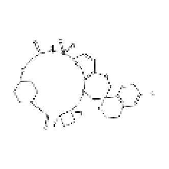 O=C1COC2CCN(CC2)C(=O)[C@@H]2CC[C@H]2CN2C[C@]3(COc4ccc(cc42)S(=O)(=O)N1)OCCc1cc(Cl)ccc13